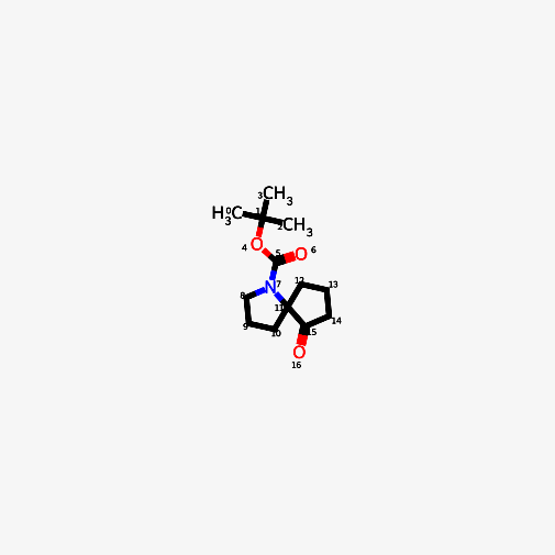 CC(C)(C)OC(=O)N1CCCC12CCCC2=O